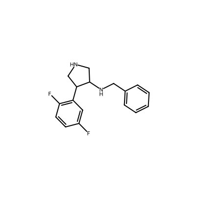 Fc1ccc(F)c(C2CNCC2NCc2ccccc2)c1